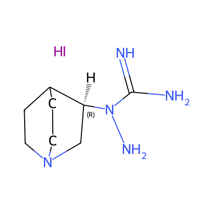 I.N=C(N)N(N)[C@H]1CN2CCC1CC2